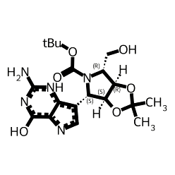 CC(C)(C)OC(=O)N1[C@H](CO)[C@H]2OC(C)(C)O[C@H]2[C@@H]1c1cnc2c(O)nc(N)[nH]c1-2